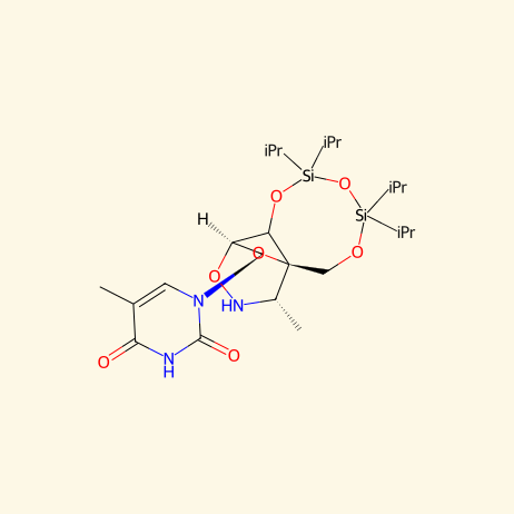 Cc1cn([C@@H]2O[C@]34CO[Si](C(C)C)(C(C)C)O[Si](C(C)C)(C(C)C)OC3[C@@H]2ON[C@H]4C)c(=O)[nH]c1=O